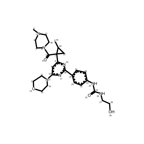 CN1CCN(C(=O)C2(c3cc(N4CCOCC4)nc(-c4ccc(NC(=O)NCCO)cc4)n3)CC2I)CC1